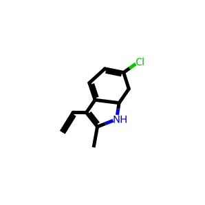 C=CC1=C(C)NC2CC(Cl)=CC=C12